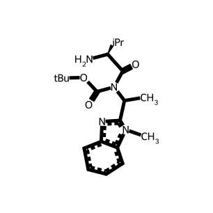 CC(C)[C@H](N)C(=O)N(C(=O)OC(C)(C)C)C(C)c1nc2ccccc2n1C